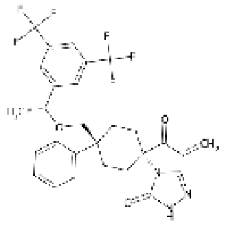 C=CC(=O)[C@]1(n2cn[nH]c2=O)CC[C@@](CO[C@H](C)c2cc(C(F)(F)F)cc(C(F)(F)F)c2)(c2ccccc2)CC1